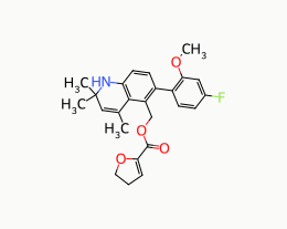 COc1cc(F)ccc1-c1ccc2c(c1COC(=O)C1=CCCO1)C(C)=CC(C)(C)N2